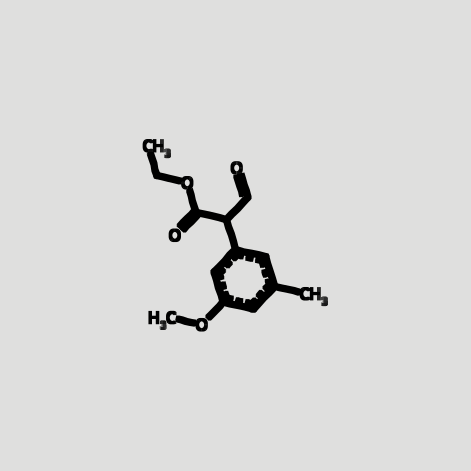 CCOC(=O)C(C=O)c1cc(C)cc(OC)c1